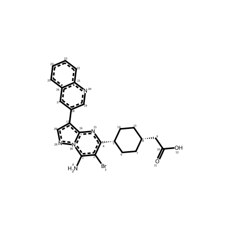 Nc1c(Br)c([C@H]2CC[C@@H](CC(=O)O)CC2)nc2c(-c3cnc4ccccc4c3)cnn12